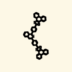 C1=CCC2C(=C1)C=C(C1=CCC(c3nc4c5ccccc5c5ccccc5c4o3)C=C1)N=C2c1ccc(-c2nc3c(o2)-c2ccccc2C2C=CC=CC32)cc1